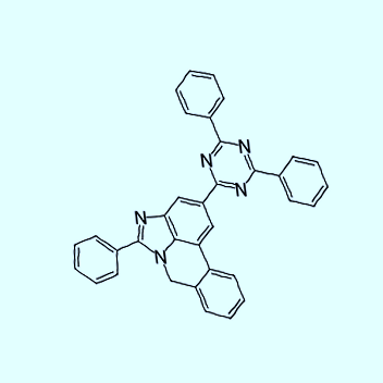 c1ccc(-c2nc(-c3ccccc3)nc(-c3cc4c5c(c3)nc(-c3ccccc3)n5Cc3ccccc3-4)n2)cc1